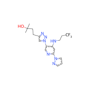 CC(C)(O)CCc1cn(-c2cnc(-n3cccn3)cc2NCCC(F)(F)F)nn1